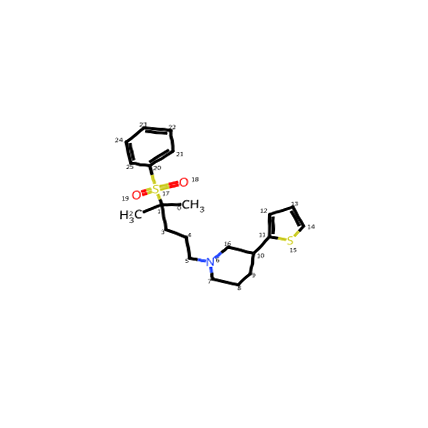 CC(C)(CCCN1CCCC(c2cccs2)C1)S(=O)(=O)c1ccccc1